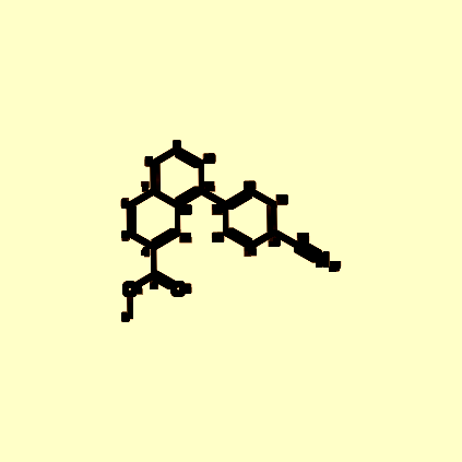 COC(=O)c1ccc2cccc(-c3ccc(C#N)cc3)c2c1